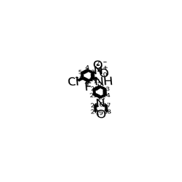 O=[N+]([O-])c1ccc(Cl)c(F)c1Nc1ccc(N2CCOCC2)cc1